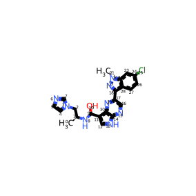 C[C@H](Cn1ccnc1)NC(O)c1c[nH]c2ncc(-c3nn(C)c4cc(Cl)ccc34)nc12